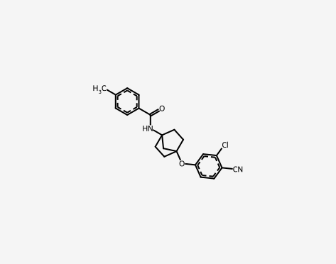 Cc1ccc(C(=O)NC23CCC(Oc4ccc(C#N)c(Cl)c4)(CC2)C3)cc1